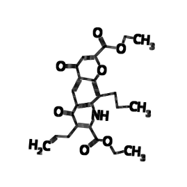 C=CCc1c(C(=O)OCC)[nH]c2c(CCC)c3oc(C(=O)OCC)cc(=O)c3cc2c1=O